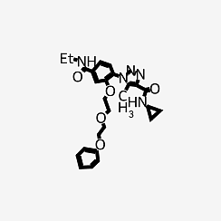 CCNC(=O)c1ccc(-n2nnc(C(=O)NC3CC3)c2C)c(OCCOCCOc2ccccc2)c1